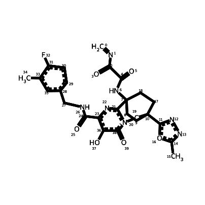 C=NC(=O)C(=O)NC12CCC(c3nnc(C)o3)(CC1)Cn1c2nc(C(=O)NCc2ccc(F)c(C)c2)c(O)c1=O